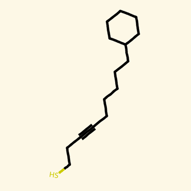 SCCC#CCCCCCC1CCCCC1